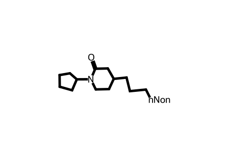 CCCCCCCCCCCCC1CCN(C2CCCC2)C(=O)C1